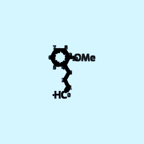 [CH]=CCCc1ccccc1OC